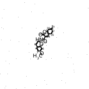 COc1ccc(/C=C\C(=O)NC(=O)c2cc3ccc(I)cc3oc2=O)cc1